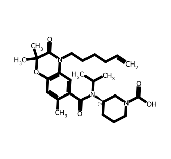 C=CCCCCN1C(=O)C(C)(C)Oc2cc(C)c(C(=O)N(C(C)C)[C@@H]3CCCN(C(=O)O)C3)cc21